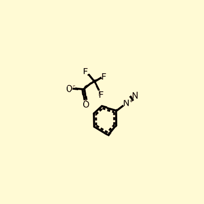 N#[N+]c1ccccc1.O=C([O-])C(F)(F)F